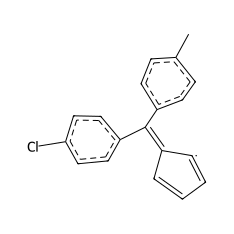 Cc1ccc(C(=C2[C]=CC=C2)c2ccc(Cl)cc2)cc1